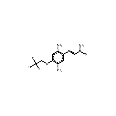 CCN(C)/C=N/c1cc(C)c(OCC(F)(F)CC)cc1C